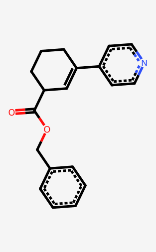 O=C(OCc1ccccc1)C1C=C(c2ccncc2)CCC1